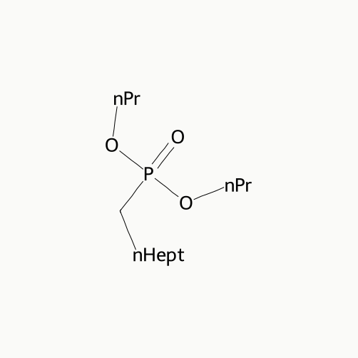 CCCCCCCCP(=O)(OCCC)OCCC